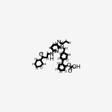 CCc1nc2ccc(NCCC(=O)C3CCCCC3)nc2n1Cc1ccc(-c2ccccc2OC(=O)O)cc1